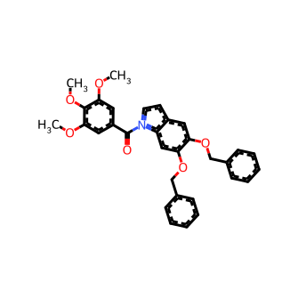 COc1cc(C(=O)n2ccc3cc(OCc4ccccc4)c(OCc4ccccc4)cc32)cc(OC)c1OC